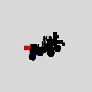 Bc1c(B)c(B)c(-c2ccccc2-c2c3ccccc3c(-c3ccc4cc(-n5c(C(B)(O)C(B)(B)O)nc6ccccc65)ccc4c3)c3ccccc23)c(B)c1B